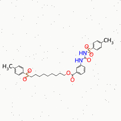 Cc1ccc(S(=O)(=O)CCCCCCCCCOC(=O)c2cccc(NC(=O)NS(=O)(=O)c3ccc(C)cc3)c2)cc1